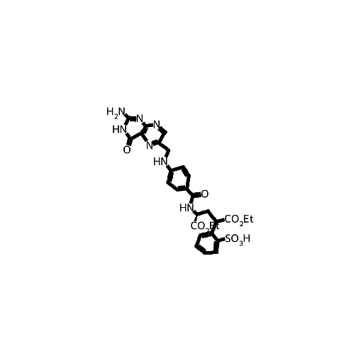 CCOC(=O)C(C[C@H](NC(=O)c1ccc(NCc2cnc3nc(N)[nH]c(=O)c3n2)cc1)C(=O)OCC)c1ccccc1S(=O)(=O)O